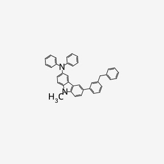 Cn1c2ccc(-c3cccc(Cc4ccccc4)c3)cc2c2cc(N(c3ccccc3)c3ccccc3)ccc21